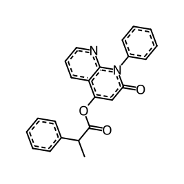 CC(C(=O)Oc1cc(=O)n(-c2ccccc2)c2ncccc12)c1ccccc1